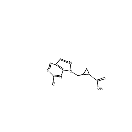 O=C(O)C1CC1Cn1ncc2cnc(Cl)nc21